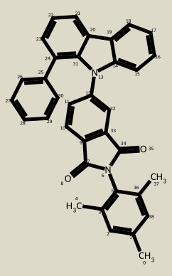 Cc1cc(C)c(N2C(=O)c3ccc(-n4c5ccccc5c5cccc(-c6ccccc6)c54)cc3C2=O)c(C)c1